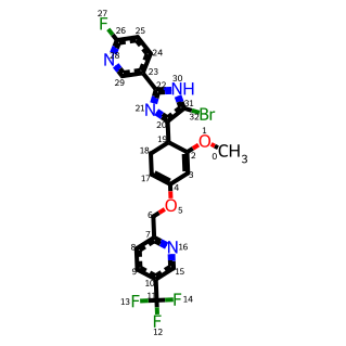 COC1=CC(OCc2ccc(C(F)(F)F)cn2)=CCC1c1nc(-c2ccc(F)nc2)[nH]c1Br